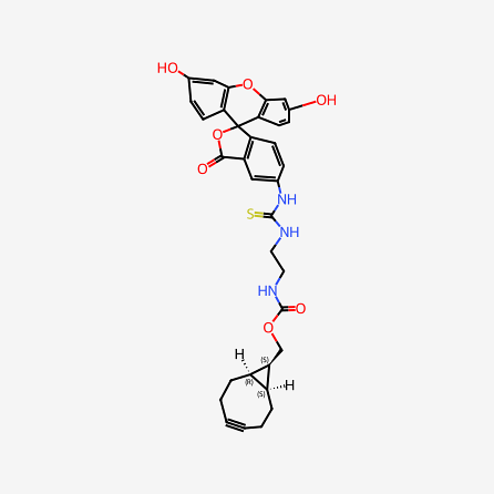 O=C(NCCNC(=S)Nc1ccc2c(c1)C(=O)OC21c2ccc(O)cc2Oc2cc(O)ccc21)OC[C@@H]1[C@@H]2CCC#CCC[C@@H]21